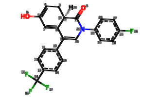 O=C1[C@@H]2CC=C(O)C=C2C(c2ccc(C(F)(F)F)cc2)=CN1c1ccc(F)cc1